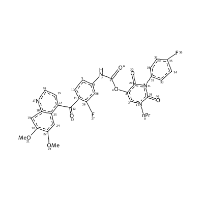 CCCn1cc(OC(=O)Nc2ccc(C(=O)c3ccnc4cc(OC)c(OC)cc34)c(F)c2)c(=O)n(-c2ccc(F)cc2)c1=O